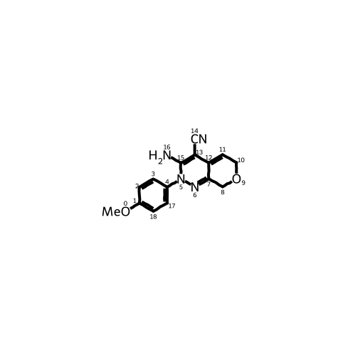 COc1ccc(N2N=C3COCC=C3C(C#N)=C2N)cc1